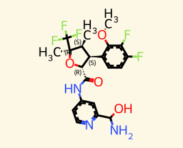 COc1c([C@H]2[C@H](C(=O)Nc3ccnc(C(N)O)c3)O[C@@](C)(C(F)(F)F)[C@H]2C)ccc(F)c1F